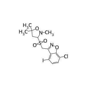 CN1OC(C)(C)CC1S(=O)(=O)Cc1noc2c(Cl)ccc(I)c12